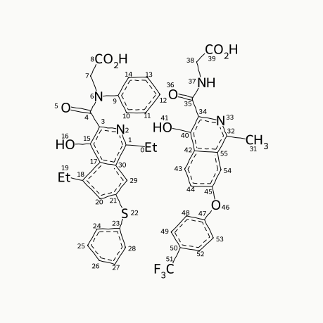 CCc1nc(C(=O)N(CC(=O)O)c2ccccc2)c(O)c2c(CC)cc(Sc3ccccc3)cc12.Cc1nc(C(=O)NCC(=O)O)c(O)c2ccc(Oc3ccc(C(F)(F)F)cc3)cc12